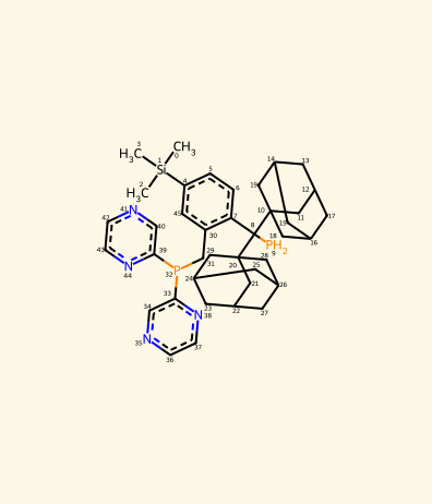 C[Si](C)(C)c1ccc(C(P)(C23CC4CC(CC(C4)C2)C3)C23CC4CC(CC(C4)C2)C3)c(CP(c2cnccn2)c2cnccn2)c1